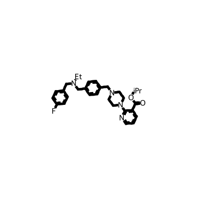 CCN(Cc1ccc(F)cc1)Cc1ccc(CN2CCN(c3ncccc3C(=O)OC(C)C)CC2)cc1